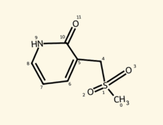 CS(=O)(=O)Cc1ccc[nH]c1=O